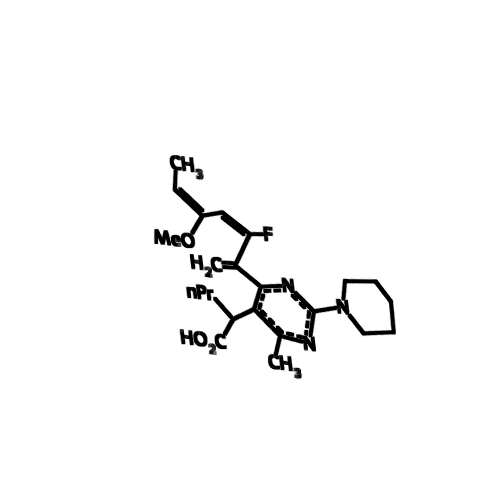 C=C(/C(F)=C\C(=C/C)OC)c1nc(N2CCCCC2)nc(C)c1C(CCC)C(=O)O